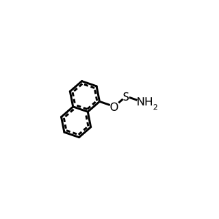 NSOc1cccc2ccccc12